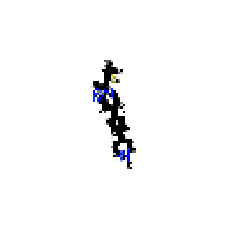 CN1CCC(c2ccc(-c3ccn4c(-c5cccs5)cnc4c3)cc2)CC1